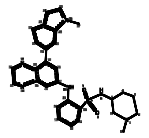 CN1CCCC(NS(=O)(=O)c2ccccc2Nc2cc(-c3ccc4ccn(C)c4c3)c3nccnc3c2)C1